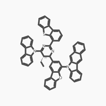 CC[C@@H]1C(n2c3ccccc3c3ccccc32)=NC(c2cccc3c2sc2ccccc23)=NC1c1cc(-n2c3ccccc3c3cc4ccccc4cc32)c2oc3ccccc3c2c1